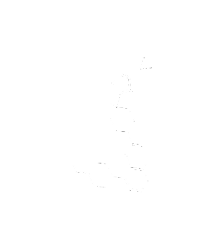 CC(C)N1CCC(c2cccc(Cl)c2NC(=O)N2CCC(C)(c3noc(C4CC4)n3)CC2)CC1